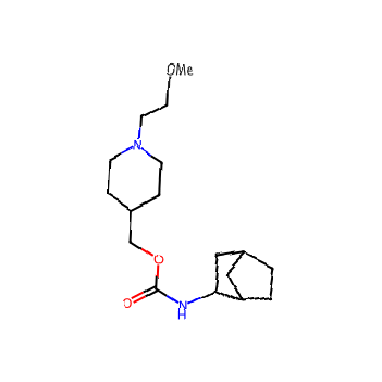 COCCN1CCC(COC(=O)NC2CC3CCC2C3)CC1